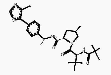 Cc1ncsc1-c1ccc([C@@H](C)NC(=O)[C@@H]2C[C@@H](C)CN2C(=O)[C@@H](NC(=O)C(C)(C)C)C(C)(C)C)cc1